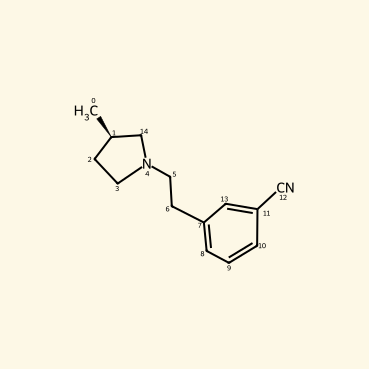 C[C@@H]1CCN(CCc2cccc(C#N)c2)C1